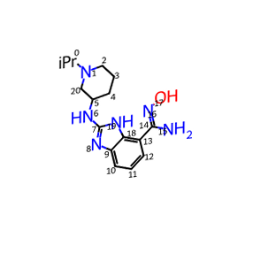 CC(C)N1CCCC(Nc2nc3cccc(C(N)=NO)c3[nH]2)C1